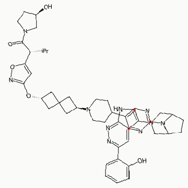 CC(C)[C@@H](C(=O)N1CC[C@@H](O)C1)c1cc(O[C@H]2CC3(C2)C[C@H](N2CCC(c4cnc(N5C6CCC5CN(c5c[nH]c7nnc(-c8ccccc8O)cc57)C6)nc4)CC2)C3)no1